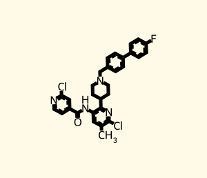 Cc1cc(NC(=O)c2ccnc(Cl)c2)c(C2CCN(Cc3ccc(-c4ccc(F)cc4)cc3)CC2)nc1Cl